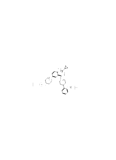 COc1ccccc1C1CCN(c2nc(C3CC3)nc3ccc(N4CCC(OC)CC4)cc23)CC1